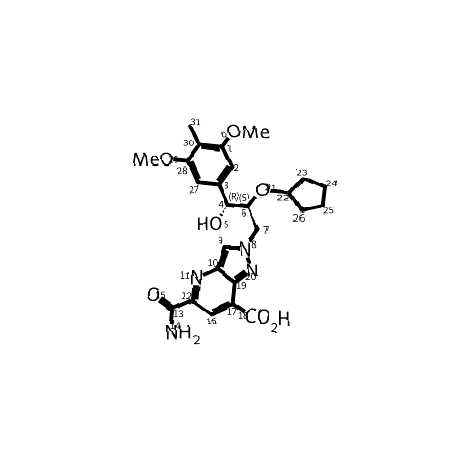 COc1cc([C@@H](O)[C@H](Cn2cc3nc(C(N)=O)cc(C(=O)O)c3n2)OC2CCCC2)cc(OC)c1C